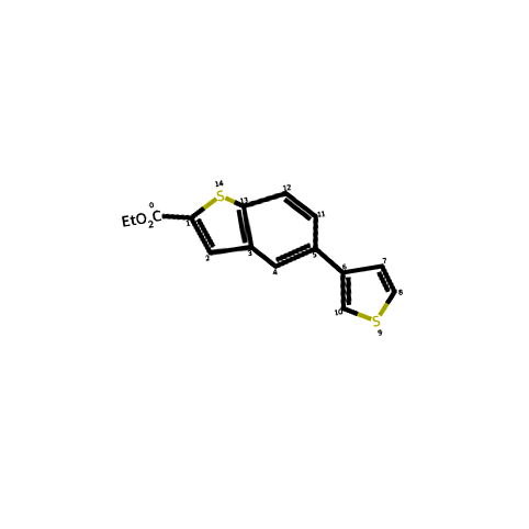 CCOC(=O)c1cc2cc(-c3ccsc3)ccc2s1